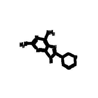 Nc1nc(N)c2nc(C3CCCOC3)[nH]c2n1